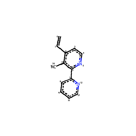 C=Cc1ccnc(-c2ccccn2)c1C#N